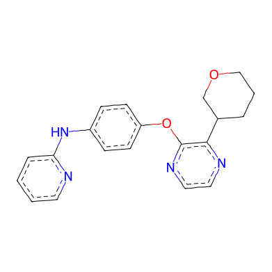 c1ccc(Nc2ccc(Oc3nccnc3C3CCCOC3)cc2)nc1